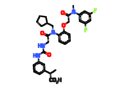 CC(C(=O)O)c1cccc(NC(=O)NCC(=O)N(CC2CCCC2)c2ccccc2OCC(=O)N(C)c2cc(F)cc(F)c2)c1